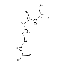 CC(C)OCCOCC(C)OC(C)C